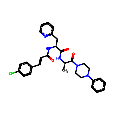 C[C@H](NC(=O)[C@H](Cc1ccccn1)NC(=O)/C=C/c1ccc(Cl)cc1)C(=O)N1CCN(c2ccccc2)CC1